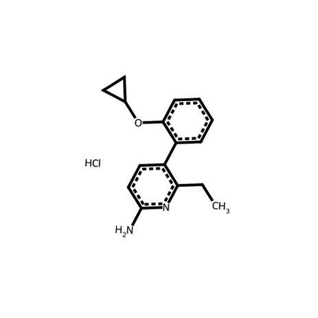 CCc1nc(N)ccc1-c1ccccc1OC1CC1.Cl